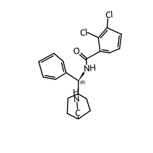 O=C(N[C@H](c1ccccc1)C12CCC(CC1)CN2)c1cccc(Cl)c1Cl